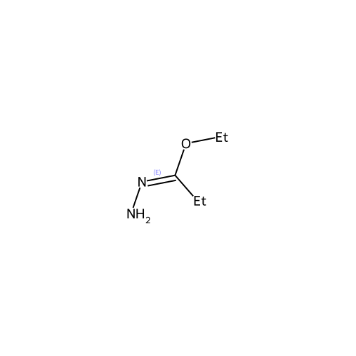 CCO/C(CC)=N/N